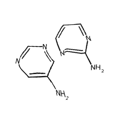 Nc1cncnc1.Nc1ncccn1